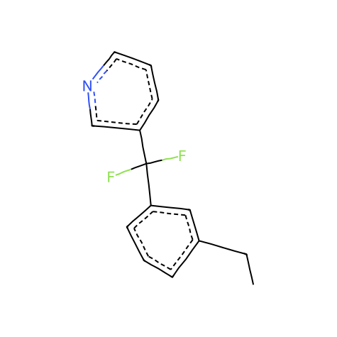 CCc1cccc(C(F)(F)c2cccnc2)c1